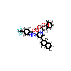 O=C(Nc1cc(-c2ccc3ccccc3c2)cn([C@@H](Cc2ccccc2)C(=O)O)c1=O)c1ccc(C(F)(F)F)cc1